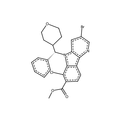 COC(=O)c1ccc2c3ncc(Br)cc3n([C@H](c3ccccc3)C3CCOCC3)c2c1Cl